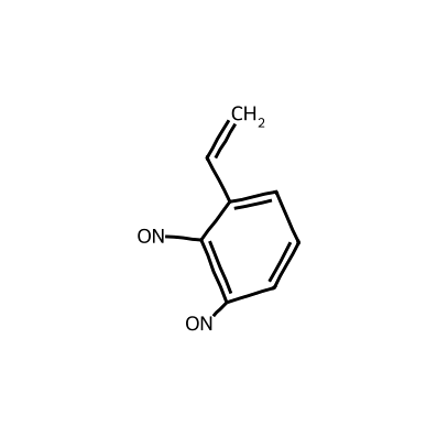 C=Cc1cccc(N=O)c1N=O